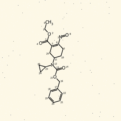 CCOC(=O)C1=C(N=O)CCC(N(C(=O)OCc2ccccc2)C2CC2)C1